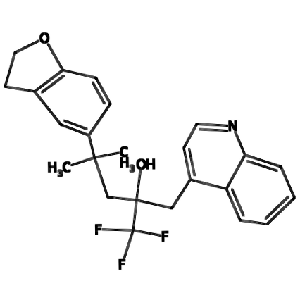 CC(C)(CC(O)(Cc1ccnc2ccccc12)C(F)(F)F)c1ccc2c(c1)CCO2